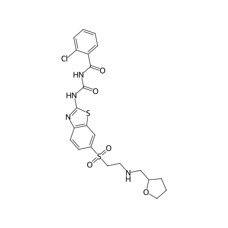 O=C(NC(=O)c1ccccc1Cl)Nc1nc2ccc(S(=O)(=O)CCNCC3CCCO3)cc2s1